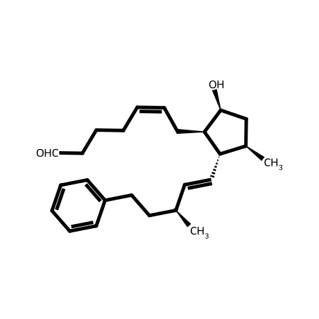 C[C@H](/C=C/[C@@H]1[C@@H](C/C=C\CCCC=O)[C@@H](O)C[C@H]1C)CCc1ccccc1